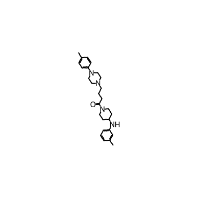 Cc1ccc(N2CCN(CCCC(=O)N3CCC(Nc4cccc(C)c4)CC3)CC2)cc1